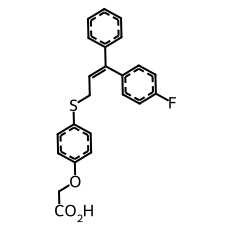 O=C(O)COc1ccc(SCC=C(c2ccccc2)c2ccc(F)cc2)cc1